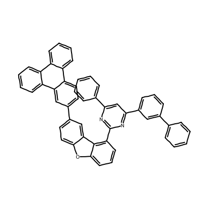 c1ccc(-c2cccc(-c3cc(-c4ccccc4)nc(-c4cccc5oc6ccc(-c7ccc8c9ccccc9c9ccccc9c8c7)cc6c45)n3)c2)cc1